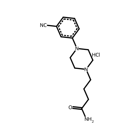 Cl.N#Cc1cccc(N2CCN(CCCC(N)=O)CC2)c1